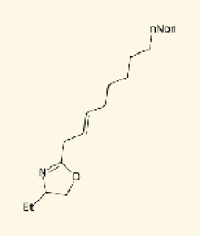 CCCCCCCCCCCCCCC=CCC1=NC(CC)CO1